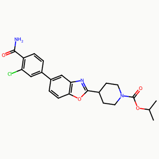 CC(C)OC(=O)N1CCC(c2nc3cc(-c4ccc(C(N)=O)c(Cl)c4)ccc3o2)CC1